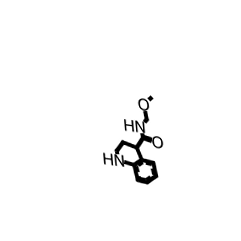 COCNC(=O)C1CCNc2ccccc21